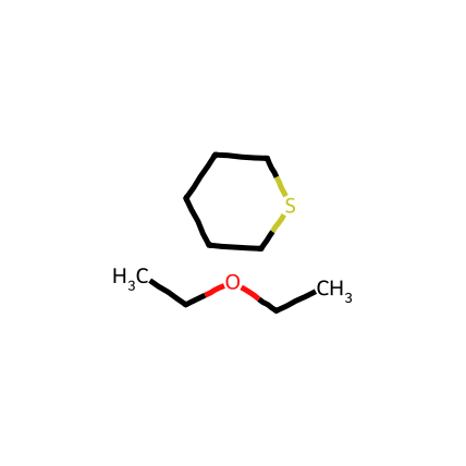 C1CCSCC1.CCOCC